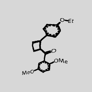 CCOc1ccc(C2CCC2C(=O)c2cc(OC)ccc2OC)cc1